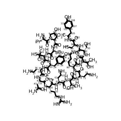 CC[C@H](C)[C@H](NC(=O)[C@@H]1C[C@@H](O)CN1C(=O)[C@@H](N)C(C)C)C(=O)N[C@H](C(=O)N[C@@H](Cc1ccc(O)cc1)C(=O)N[C@@H](CCN)C(=O)N[C@@H](CC(N)=O)C(=O)N[C@@H](CCCNC(=N)N)C(=O)N[C@@H](CCN)C(=O)N[C@H](C(=O)N[C@H](CCN)C(=O)N[C@@H](CCCCN)C(=O)N[C@H](C(=O)N[C@@H](CO)C(=O)N[C@@H](CS)C(=O)N[C@@H](Cc1ccc(O)cc1)C(=O)O)[C@@H](C)O)[C@@H](C)O)C(C)(C)S